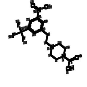 O=C(O)N1CCN(CCc2cc([N+](=O)[O-])cc(C(F)(F)F)c2)CC1